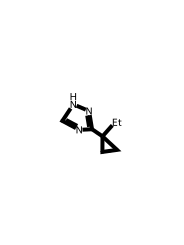 CCC1(c2nc[nH]n2)CC1